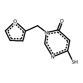 O=c1cc(S)ncn1Cc1ccco1